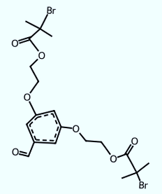 CC(C)(Br)C(=O)OCCOc1cc(C=O)cc(OCCOC(=O)C(C)(C)Br)c1